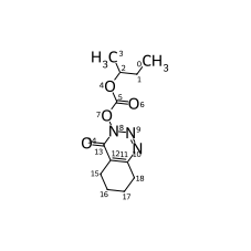 CCC(C)OC(=O)On1nnc2c(c1=O)CCCC2